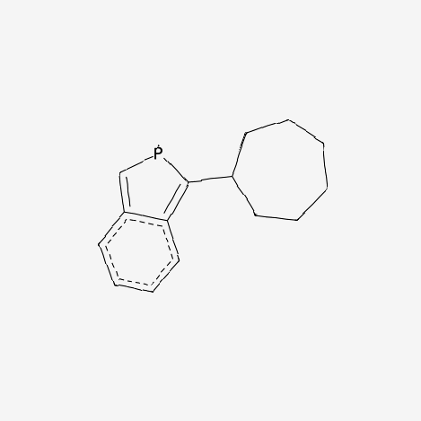 C1=c2ccccc2=C(C2CCCCCC2)[P]1